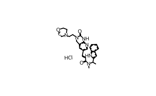 CC(c1cc2ccccc2[nH]1)N(C)C(=O)/C=C/c1cnc2c(c1)CN(CCN1CCOCC1)C(=O)N2.Cl